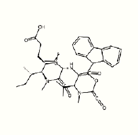 CC[C@H](C)[C@@H]([C@@H](CCC(=O)O)OC)N(C)C(=C=O)[C@@H](NC(=C=O)[C@H](C(C)C)N(C)C(=C=O)OCC1c2ccccc2-c2ccccc21)C(C)C